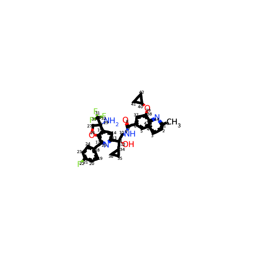 Cc1ccc2cc(C(=O)NC[C@](O)(c3cc4c(c(-c5ccc(F)cc5)n3)OC[C@@]4(N)C(F)(F)F)C3CC3)cc(OC3CC3)c2n1